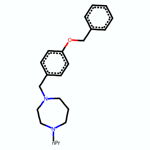 CCCN1CCCN(Cc2ccc(OCc3ccccc3)cc2)CC1